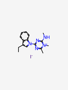 CCc1cn(-c2nc(C)[n+](C)c(NC)n2)c2ccccc12.[I-]